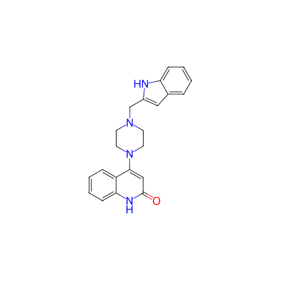 O=c1cc(N2CCN(Cc3cc4ccccc4[nH]3)CC2)c2ccccc2[nH]1